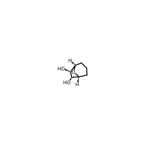 O[C@@H]1[C@H](O)[C@H]2CCC[C@@H]1O2